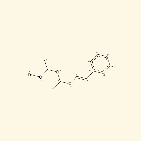 CCOC(C)OC(C)OC=Cc1ccccc1